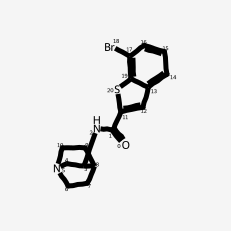 O=C(NC1CN2CCC1CC2)c1cc2cccc(Br)c2s1